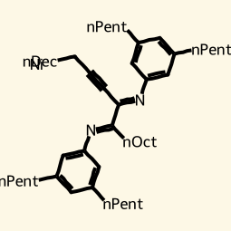 CCCCCCCCCCCC#CC(=N\c1cc(CCCCC)cc(CCCCC)c1)/C(CCCCCCCC)=N/c1cc(CCCCC)cc(CCCCC)c1.[Ni]